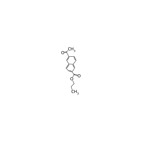 CCCOC(=O)c1ccc2cc(C(C)=O)ccc2c1